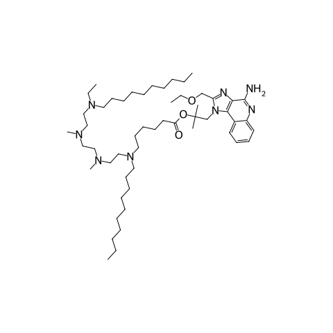 CCCCCCCCCCN(CC)CCN(C)CCN(C)CCN(CCCCCCCCCC)CCCCCC(=O)OC(C)(C)Cn1c(COCC)nc2c(N)nc3ccccc3c21